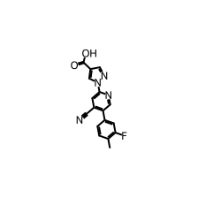 Cc1ccc(-c2cnc(-n3cc(C(=O)O)cn3)cc2C#N)cc1F